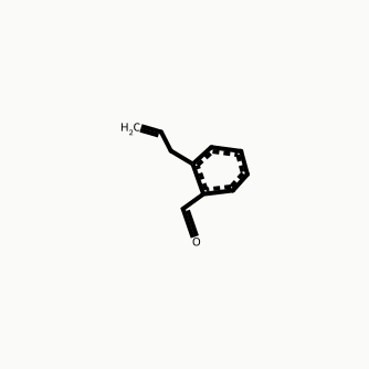 C=CCc1ccccc1C=O